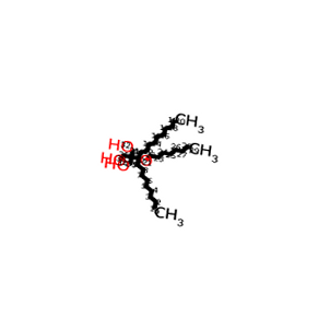 CCCCCCCCCCC(CCCCCCCCCC)(OCCCCCCCC)C(CO)(CO)CO